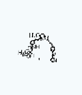 CCC(CC)(CC(=O)Nc1cccc(C=Cc2nc(OCCCCc3ccc(OCc4cccnc4)cc3)ccc2C)c1)C(=O)O